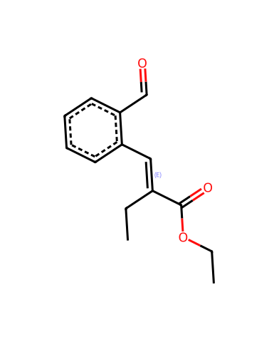 CCOC(=O)/C(=C/c1ccccc1C=O)CC